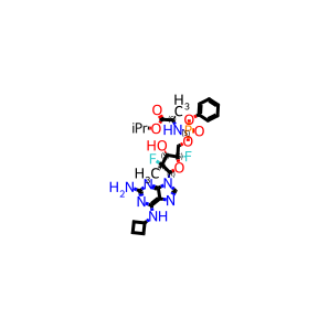 CC(C)OC(=O)[C@H](C)N[P@](=O)(OC[C@@]1(F)O[C@@H](n2cnc3c(NC4CCC4)nc(N)nc32)[C@](C)(F)[C@@H]1O)Oc1ccccc1